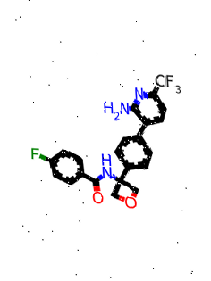 Nc1nc(C(F)(F)F)ccc1-c1ccc(C2(NC(=O)c3ccc(F)cc3)COC2)cc1